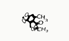 COC(=O)c1c(C)cc2c(c1CO)OCO2